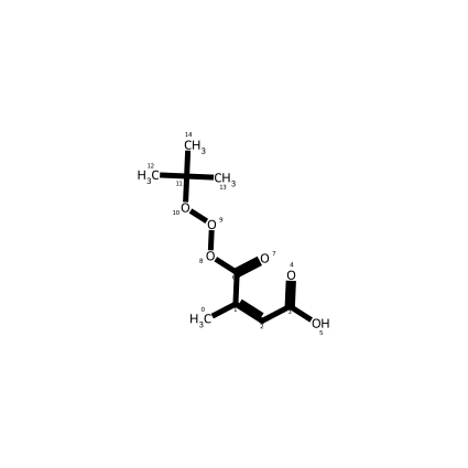 CC(=CC(=O)O)C(=O)OOOC(C)(C)C